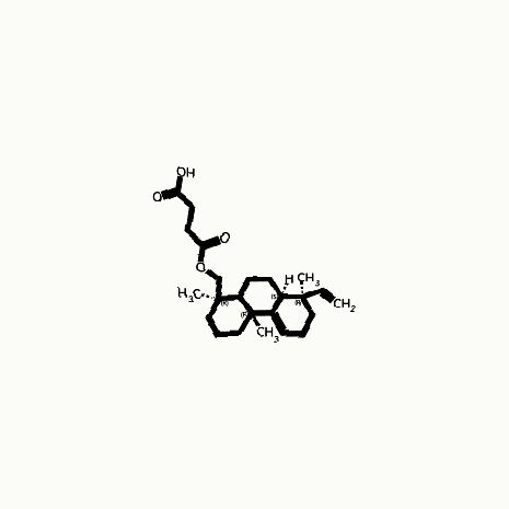 C=C[C@@]1(C)CCC=C2[C@H]1CCC1[C@](C)(COC(=O)CCC(=O)O)CCC[C@@]21C